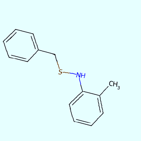 Cc1ccccc1NSCc1ccccc1